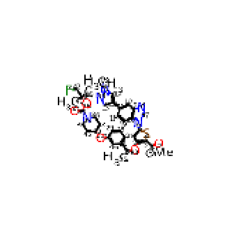 COC(=O)c1sc(-n2cnc3cc(-c4cnn(C)c4)ccc32)cc1OC(C)c1cccc(OC2CCN(C(=O)OC(C)(C)CF)CC2)c1